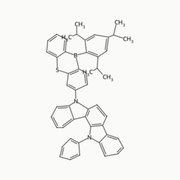 CC(C)c1cc(C(C)C)c(B2c3ccccc3Sc3cc(-n4c5ccccc5c5c4ccc4c6ccccc6n(-c6ccccc6)c45)ccc32)c(C(C)C)c1